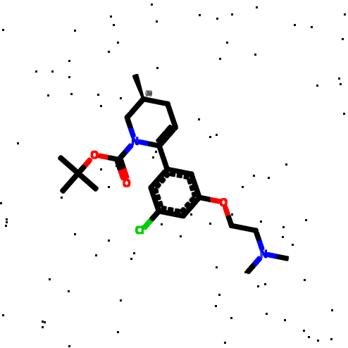 C[C@H]1CC=C(c2cc(Cl)cc(OCCN(C)C)c2)N(C(=O)OC(C)(C)C)C1